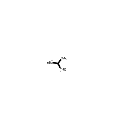 CCCCC(C=O)OC(C)=O